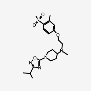 Cc1cc(OCCN(C)C2CCN(c3nc(C(C)C)no3)CC2)ccc1S(C)(=O)=O